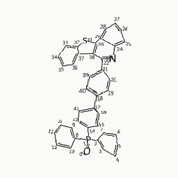 O=P(c1ccccc1)(c1ccccc1)c1ccc(-c2ccc(-c3nc4ccccc4c4sc5ccccc5c34)cc2)cc1